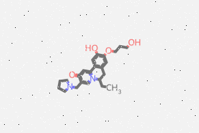 CCC1Cc2cc(OCCCO)c(O)cc2-c2cc(=O)c(CN3CCCC3)cn21